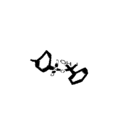 Cc1ccc(S(=O)(=O)OC(O)(I)c2ccccc2)cc1